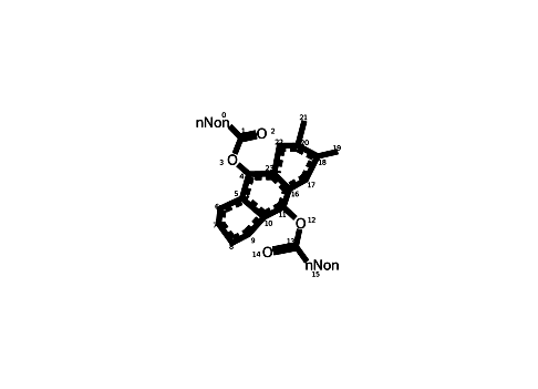 CCCCCCCCCC(=O)Oc1c2ccccc2c(OC(=O)CCCCCCCCC)c2cc(C)c(C)cc12